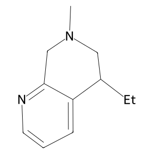 CCC1CN(C)Cc2ncccc21